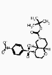 CC(C)(C)OC(=O)N1CC[C@@H]2OCCN(S(=O)(=O)c3ccc([N+](=O)[O-])cc3)[C@@H]2C1